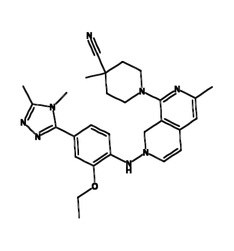 CCOc1cc(-c2nnc(C)n2C)ccc1NN1C=Cc2cc(C)nc(N3CCC(C)(C#N)CC3)c2C1